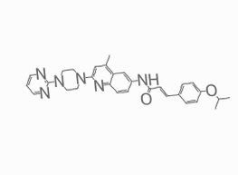 Cc1cc(N2CCN(c3ncccn3)CC2)nc2ccc(NC(=O)/C=C/c3ccc(OC(C)C)cc3)cc12